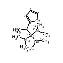 C[CH](c1ccco1)[Sn]([N](C)C)([N](C)C)[N](C)C